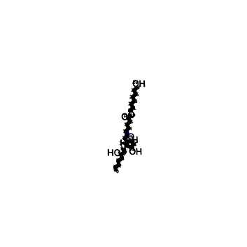 CCCCC[C@H](O)/C=C/[C@@H]1[C@H]2C/C(=C/CCCC(=O)OCCCCCCCCO)O[C@@H]2C[C@H]1O